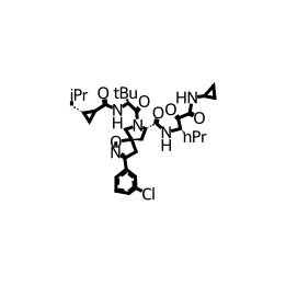 CCC[C@H](NC(=O)[C@@H]1C[C@]2(CC(c3cccc(Cl)c3)=NO2)CN1C(=O)[C@@H](NC(=O)C1C[C@@H]1CC(C)C)C(C)(C)C)C(=O)C(=O)NC1CC1